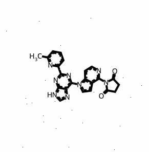 Cc1cccc(-c2nc(-n3ccc4c(N5C(=O)CCC5=O)nccc43)c3nc[nH]c3n2)n1